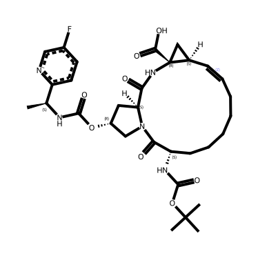 C[C@H](NC(=O)O[C@@H]1C[C@H]2C(=O)N[C@]3(C(=O)O)C[C@H]3/C=C\CCCCC[C@H](NC(=O)OC(C)(C)C)C(=O)N2C1)c1ccc(F)cn1